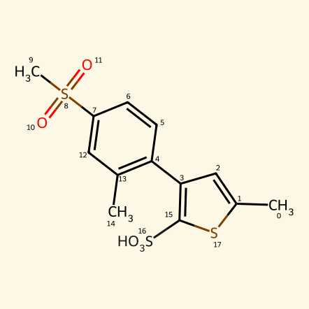 Cc1cc(-c2ccc(S(C)(=O)=O)cc2C)c(S(=O)(=O)O)s1